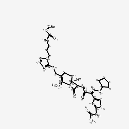 CC(C)(C)OC(=O)NCCCn1nnnc1SCC1=C(C(=O)O)N2C(=O)C(NC(=O)C(=NOC3CCCC3)c3csc(NC(=O)C(F)(F)F)n3)[C@@H]2SC1